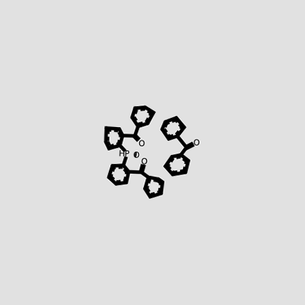 O=C(c1ccccc1)c1ccccc1.O=C(c1ccccc1)c1ccccc1[PH](=O)c1ccccc1C(=O)c1ccccc1